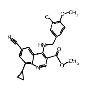 COC(=O)c1cnc2c(C3CC3)cc(C#N)cc2c1NCc1ccc(OC)c(Cl)c1